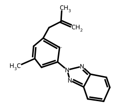 C=C(C)Cc1[c]c(-n2nc3ccccc3n2)cc(C)c1